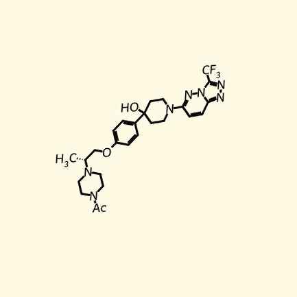 CC(=O)N1CCN([C@H](C)COc2ccc(C3(O)CCN(c4ccc5nnc(C(F)(F)F)n5n4)CC3)cc2)CC1